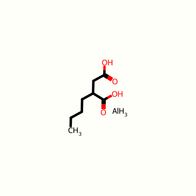 CCCCC(CC(=O)O)C(=O)O.[AlH3]